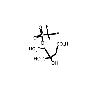 O=C(O)CC(O)(CC(=O)O)C(=O)O.O=S(=O)(O)C(F)(F)F